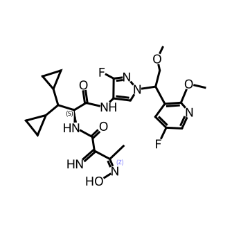 COCC(c1cc(F)cnc1OC)n1cc(NC(=O)[C@@H](NC(=O)C(=N)/C(C)=N\O)C(C2CC2)C2CC2)c(F)n1